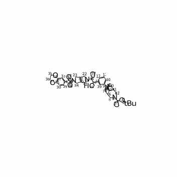 CC(C)(C)OC(=O)N1CC2CN(c3cccc(C(O)C(=O)N4CC5=C(C4)CN(S(=O)(=O)c4ccc6c(c4)OCCO6)C5)c3)CC(C1)C2(F)F